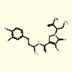 CCC(C(C)=O)N1CC(C(=O)NC(C)CCc2ccc(Cl)c(Cl)c2)=C(O)C1=O